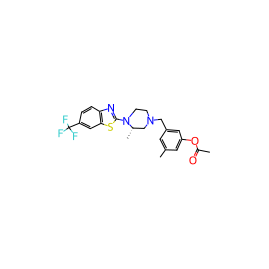 CC(=O)Oc1cc(C)cc(CN2CCN(c3nc4ccc(C(F)(F)F)cc4s3)[C@@H](C)C2)c1